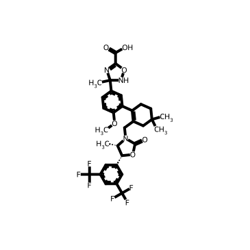 COc1ccc(C2(C)N=C(C(=O)O)ON2)cc1C1=C(CN2C(=O)O[C@H](c3cc(C(F)(F)F)cc(C(F)(F)F)c3)[C@@H]2C)CC(C)(C)CC1